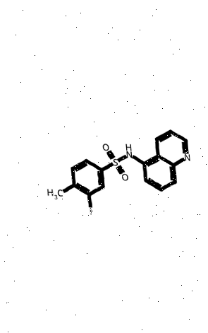 Cc1ccc(S(=O)(=O)Nc2cccc3ncccc23)cc1I